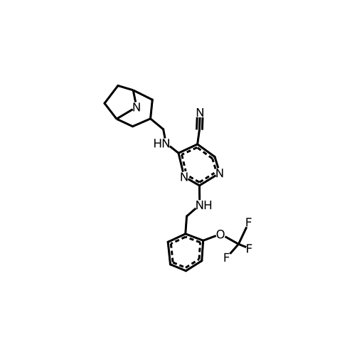 CN1C2CCC1CC(CNc1nc(NCc3ccccc3OC(F)(F)F)ncc1C#N)C2